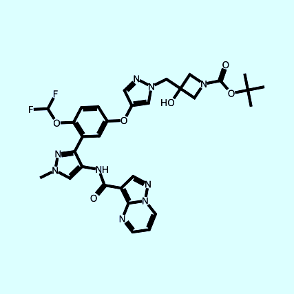 Cn1cc(NC(=O)c2cnn3cccnc23)c(-c2cc(Oc3cnn(CC4(O)CN(C(=O)OC(C)(C)C)C4)c3)ccc2OC(F)F)n1